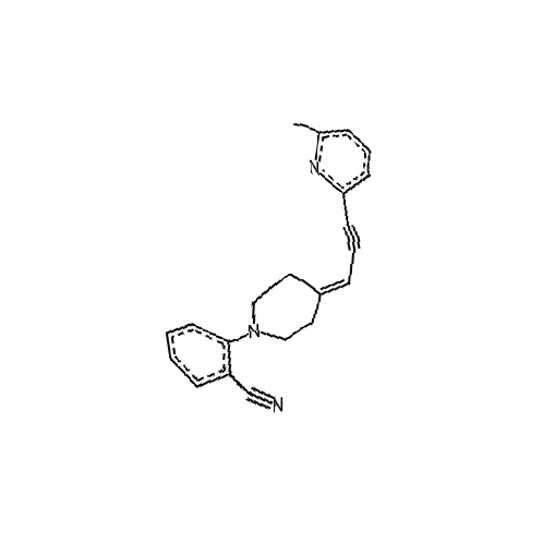 Cc1cccc(C#CC=C2CCN(c3ccccc3C#N)CC2)n1